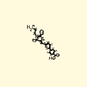 C=CCN1C(=O)S/C(=C\c2ccc(-c3ccc(C(=O)O)cc3)s2)C1=O